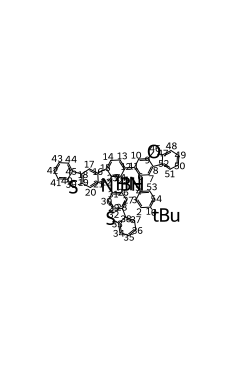 CC(C)(C)c1ccc(Nc2cc3c(cc2-c2ccc4c5cc6c(cc5n5c4c2Bc2cc4c(cc2-5)sc2ccccc24)sc2ccccc26)oc2ccccc23)cc1